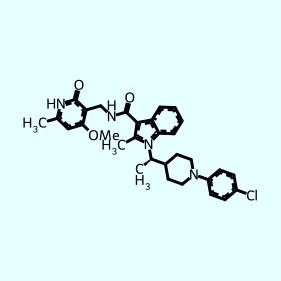 COc1cc(C)[nH]c(=O)c1CNC(=O)c1c(C)n([C@H](C)C2CCN(c3ccc(Cl)cc3)CC2)c2ccccc12